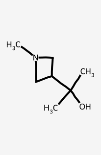 CN1CC(C(C)(C)O)C1